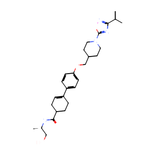 CC(C)c1noc(N2CCC(COc3ccc(C4=CCC(C(=O)N[C@H](C)CO)CC4)cc3)CC2)n1